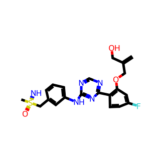 C=C(CO)COc1cc(F)ccc1-c1ncnc(Nc2cccc(CS(C)(=N)=O)c2)n1